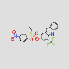 CCSP(=O)(Oc1ccc([N+](=O)[O-])cc1)Oc1cc(C(F)(F)F)c2nc3ccccc3cc2c1